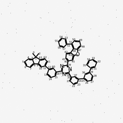 CC1(C)c2ccccc2-c2cc(-c3cccc(-c4nc(-c5cccc(-c6cccc(-c7ccccc7)c6)c5)nc(-c5ccc6c(c5)oc5cccc(-c7ccccc7)c56)n4)c3)ccc21